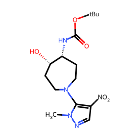 Cn1ncc([N+](=O)[O-])c1N1CC[C@H](O)[C@H](NC(=O)OC(C)(C)C)CC1